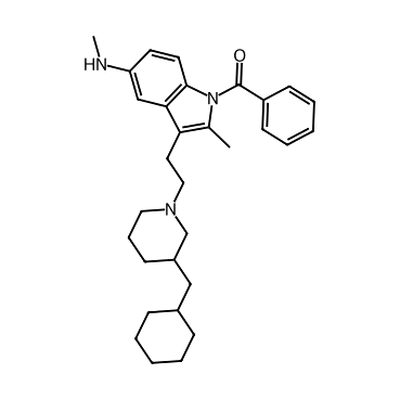 CNc1ccc2c(c1)c(CCN1CCCC(CC3CCCCC3)C1)c(C)n2C(=O)c1ccccc1